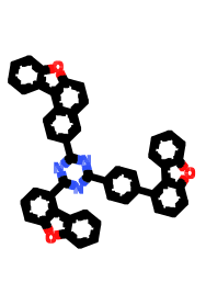 c1ccc2c(c1)oc1cccc(-c3ccc(-c4nc(-c5ccc6c(ccc7oc8ccccc8c76)c5)nc(-c5cccc6oc7ccccc7c56)n4)cc3)c12